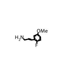 COc1ccc(F)c(C=CCN)c1